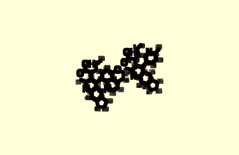 CCCC(C(=O)O)c1c(C)nc2cc3c(cc2c1-c1ccc(C)nc1)CCC3.CCCC(C(=O)O)c1c(C)nc2cc3c(cc2c1-c1ccc2c4c(ccnc14)CCO2)CCC3